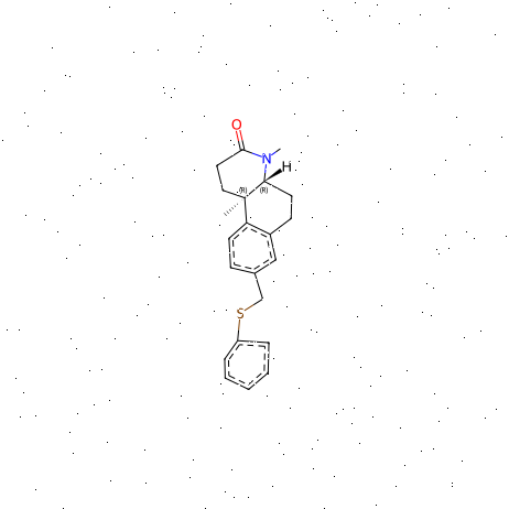 CN1C(=O)CC[C@]2(C)c3ccc(CSc4ccccc4)cc3CC[C@@H]12